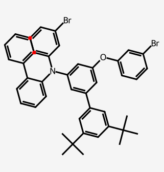 CC(C)(C)c1cc(-c2cc(Oc3cccc(Br)c3)cc(N(c3cccc(Br)c3)c3ccccc3-c3ccccc3)c2)cc(C(C)(C)C)c1